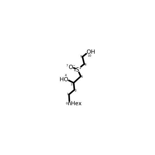 CCCCCCCCC(O)C[S+]([O-])CCO